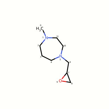 CN1CCCN(CC2CO2)CC1